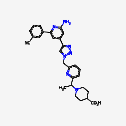 CC(c1cccc(Cn2cc(-c3cc(N)nc(-c4cccc(C#N)c4)c3)nn2)n1)N1CCC(C(=O)O)CC1